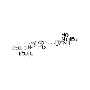 CCOC(=O)CC(C(=O)OCC)N1CCN(CC2CN(CCCCC3CCN(C(=N)NC(=O)OC(C)(C)C)CC3)C(=O)O2)CC1